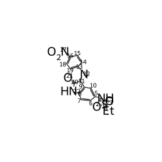 CCS(=O)(=O)Nc1ccc2c(c1)/C(=N/c1ccc([N+](=O)[O-])cc1)C(=O)N2